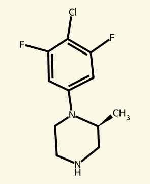 C[C@H]1CNCCN1c1cc(F)c(Cl)c(F)c1